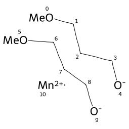 COCCC[O-].COCCC[O-].[Mn+2]